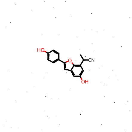 CC(C#N)c1cc(O)cc2cc(-c3ccc(O)cc3)oc12